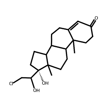 CC12CCC(=O)C=C1CCC1C2CCC2(C)C1CC[C@]2(O)C(O)CCl